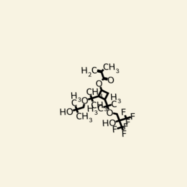 C=C(C)C(=O)OC1CC(C(C)(C)OCC(O)(C(F)(F)F)C(F)(F)F)C1C(C)(C)OCC(C)(C)O